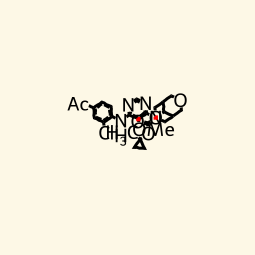 COc1c(Nc2ccc(C(C)=O)cc2Cl)ncnc1OC1C2COCC1CN(C(=O)OC1(C)CC1)C2